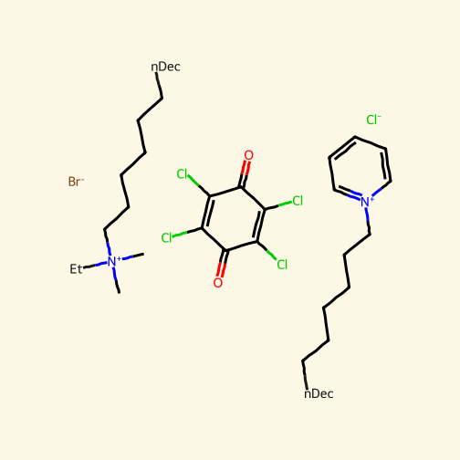 CCCCCCCCCCCCCCCC[N+](C)(C)CC.CCCCCCCCCCCCCCCC[n+]1ccccc1.O=C1C(Cl)=C(Cl)C(=O)C(Cl)=C1Cl.[Br-].[Cl-]